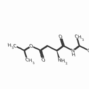 CC(C)NC(=O)[C@@H](N)CC(=O)OC(C)C